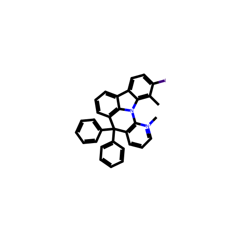 Cc1c(I)ccc2c3cccc4c3n(c12)-c1c(ccc[n+]1C)C4(c1ccccc1)c1ccccc1